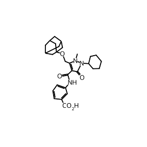 Cn1c(COC23CC4CC(CC(C4)C2)C3)c(C(=O)Nc2cccc(C(=O)O)c2)c(=O)n1C1CCCCC1